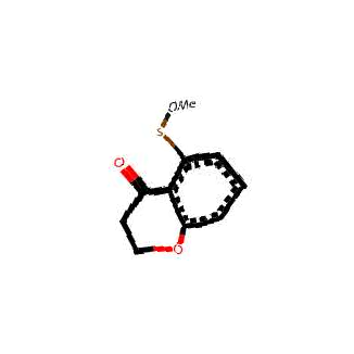 COSc1cccc2c1C(=O)CCO2